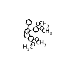 COc1ccc(-c2c(-c3ccccc3)cn3ccc4cc(OC)c(OC)cc4c23)cc1OC